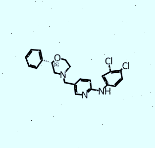 Clc1ccc(Nc2ccc(CN3CCO[C@@H](c4ccccc4)C3)cn2)cc1Cl